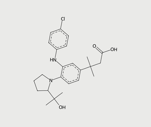 CC(C)(CC(=O)O)c1ccc(N2CCCC2C(C)(C)O)c(Nc2ccc(Cl)cc2)c1